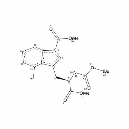 COC(=O)[C@@H](Cc1cn(C(=O)OC)c2cccc(C)c12)NC(=O)OC(C)(C)C